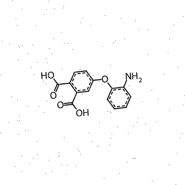 Nc1ccccc1Oc1ccc(C(=O)O)c(C(=O)O)c1